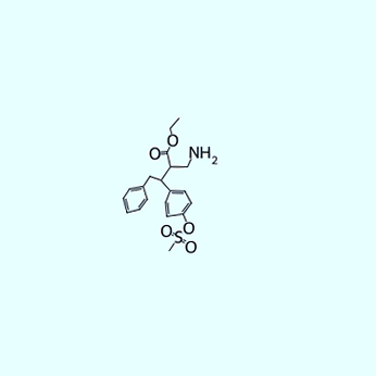 CCOC(=O)C(CN)C(Cc1ccccc1)c1ccc(OS(C)(=O)=O)cc1